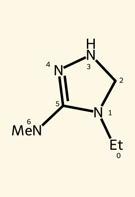 CCN1CNN=C1NC